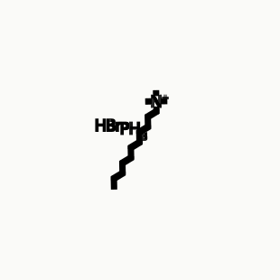 Br.CCCCCCCCCCC[N+](C)(C)C.P